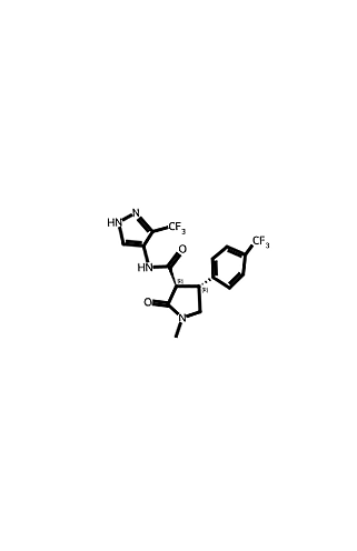 CN1C[C@@H](c2ccc(C(F)(F)F)cc2)[C@H](C(=O)Nc2c[nH]nc2C(F)(F)F)C1=O